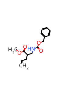 C=CCC(CNC(=O)OCc1ccccc1)C(=O)OC